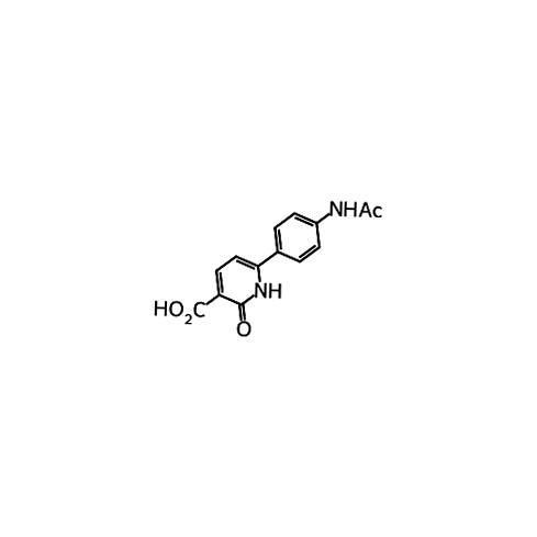 CC(=O)Nc1ccc(-c2ccc(C(=O)O)c(=O)[nH]2)cc1